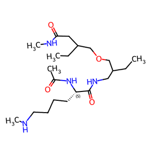 CCC(CNC(=O)[C@H](CCCCNC)NC(C)=O)COCC(CC)CC(=O)NC